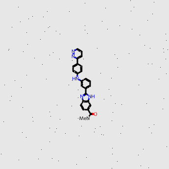 CNC(=O)c1ccc2nc(-c3cccc(Nc4ccc(-c5cccnn5)cc4)c3)[nH]c2c1